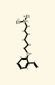 C=Cc1ccccc1OCCCCCCN(CC)CC